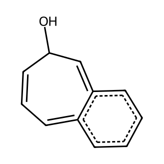 OC1C=CC=c2ccccc2=C1